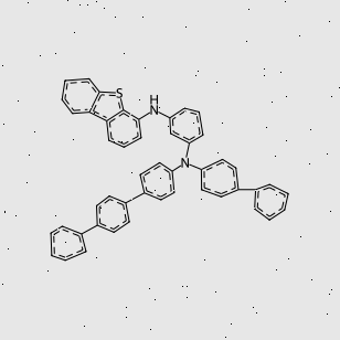 c1ccc(-c2ccc(-c3ccc(N(c4ccc(-c5ccccc5)cc4)c4cccc(Nc5cccc6c5sc5ccccc56)c4)cc3)cc2)cc1